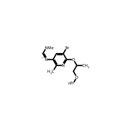 CCCOCC(C)Oc1nc(C)c(/N=C\NC)cc1Br